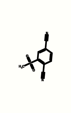 CS(=O)(=O)c1cc(C#N)ccc1C#N